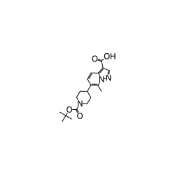 Cc1c(C2CCN(C(=O)OC(C)(C)C)CC2)ccc2c(C(=O)O)cnn12